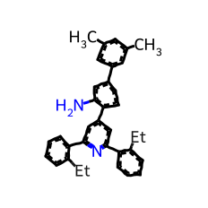 CCc1ccccc1-c1cc(-c2ccc(-c3cc(C)cc(C)c3)cc2N)cc(-c2ccccc2CC)n1